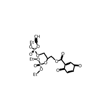 C#COP(=O)(OCC)OCC(COC(=O)C1=CC(=O)C=CC1=O)OP(=O)(OCC)OCC